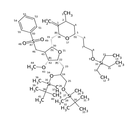 C=C1C(C)C[C@H](CCCO[Si](CC)(CC)CC)O[C@@H]1C[C@@H]1O[C@H](CC(CO[Si](C)(C)C(C)(C)C)O[Si](C)(C)C(C)(C)C)[C@H](OC)C1CS(=O)(=O)c1ccccc1